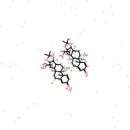 CC1(C)O[C@@H]2CC3[C@@H]4C[C@H](F)C5=CC(=O)C=CC5(C)[C@H]4[C@@H](O)C[C@]3(C)[C@]2(C(=O)CO)O1.CC1(C)O[C@@H]2CC3[C@@H]4C[C@H](F)C5=CC(=O)C=CC5(C)[C@H]4[C@@H](O)C[C@]3(C)[C@]2(C(=O)CO)O1.O